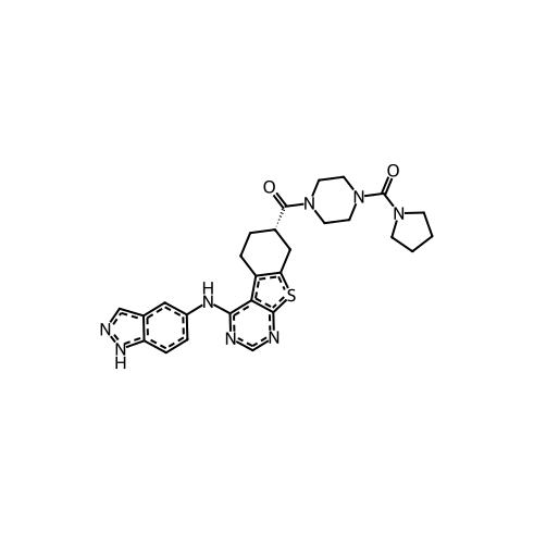 O=C([C@H]1CCc2c(sc3ncnc(Nc4ccc5[nH]ncc5c4)c23)C1)N1CCN(C(=O)N2CCCC2)CC1